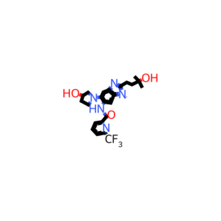 Cn1c(CCC(C)(C)O)nc2cc(N3CCC(O)C3)c(NC(=O)c3cccc(C(F)(F)F)n3)cc21